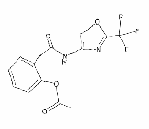 CC(=O)Oc1ccccc1C(=O)Nc1coc(C(F)(F)F)n1